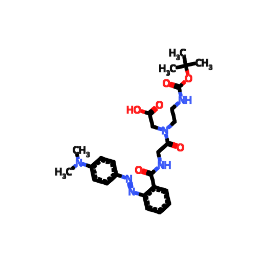 CN(C)c1ccc(/N=N/c2ccccc2C(=O)NCC(=O)N(CCNC(=O)OC(C)(C)C)CC(=O)O)cc1